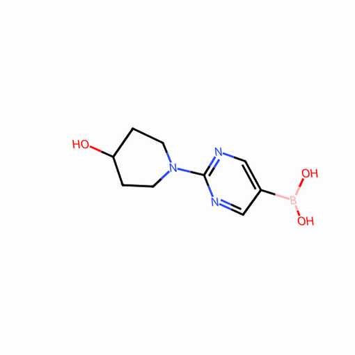 OB(O)c1cnc(N2CCC(O)CC2)nc1